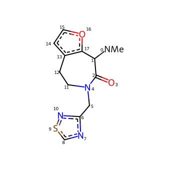 CNC1C(=O)N(Cc2ncsn2)CCc2ccoc21